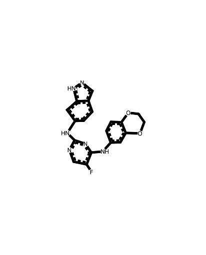 Fc1cnc(Nc2ccc3cn[nH]c3c2)nc1Nc1ccc2c(c1)OCCO2